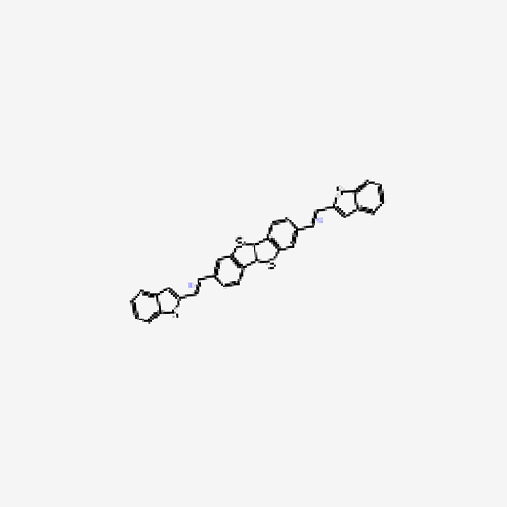 C(=C\c1cc2ccccc2s1)/c1ccc2c(c1)SC1c3ccc(/C=C/c4cc5ccccc5s4)cc3SC21